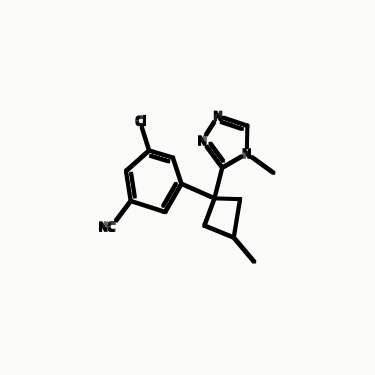 CC1CC(c2cc(Cl)cc(C#N)c2)(c2nncn2C)C1